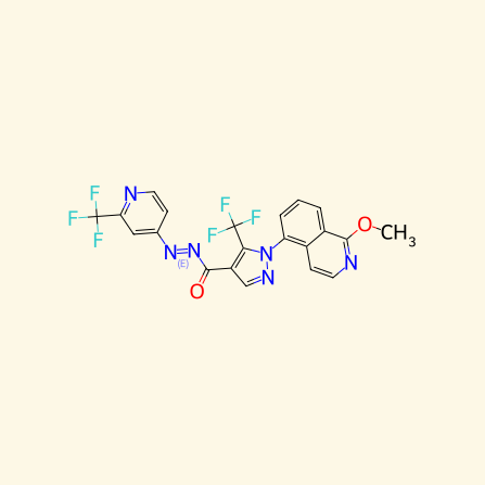 COc1nccc2c(-n3ncc(C(=O)/N=N/c4ccnc(C(F)(F)F)c4)c3C(F)(F)F)cccc12